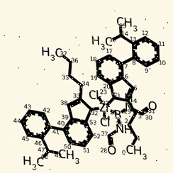 CCCCC1=Cc2c(-c3ccccc3C(C)C)cccc2[CH]1[Zr]([Cl])([Cl])([B](NC=O)NC=O)[CH]1C(CCCC)=Cc2c(-c3ccccc3C(C)C)cccc21